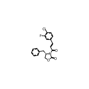 O=C(/C=C/c1ccc(Cl)c(F)c1)N1C(=O)OC[C@H]1Cc1ccccc1